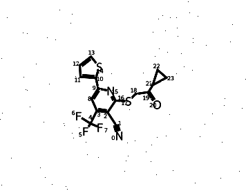 N#Cc1c(C(F)(F)F)cc(-c2cccs2)nc1SCC(=O)C1CC1